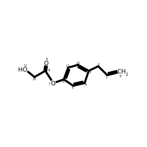 C=CCc1ccc(OC(=O)CO)cc1